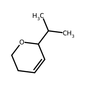 CC(C)C1C=CCCO1